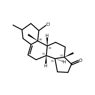 CC1CC2=CC[C@@H]3[C@@H](CC[C@]4(C)C(=O)CC[C@@H]34)[C@@]2(C)C(Cl)C1